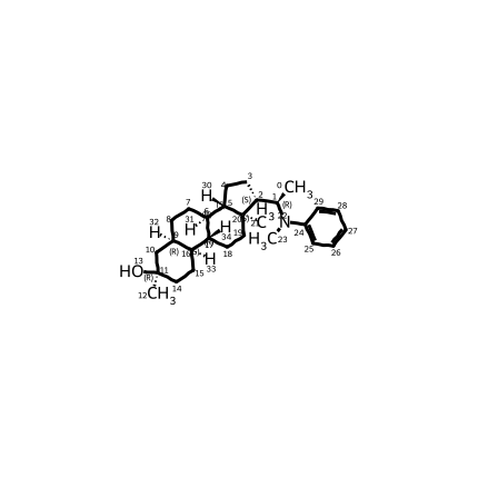 C[C@H]([C@H]1CC[C@H]2[C@@H]3CC[C@@H]4C[C@](C)(O)CC[C@@H]4[C@H]3CC[C@]12C)N(C)c1ccccc1